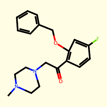 CN1CCN(CC(=O)c2ccc(F)cc2OCc2ccccc2)CC1